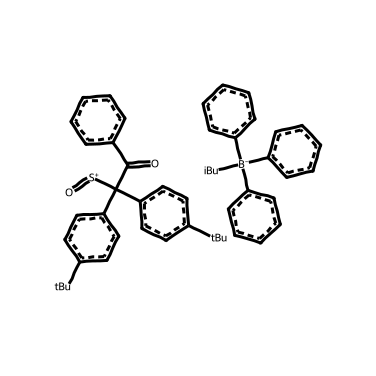 CC(C)(C)c1ccc(C([S+]=O)(C(=O)c2ccccc2)c2ccc(C(C)(C)C)cc2)cc1.CCC(C)[B-](c1ccccc1)(c1ccccc1)c1ccccc1